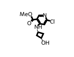 COC(=O)c1cnc(Cl)cc1N[C@H]1C[C@@H](O)C1